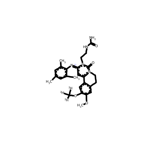 [2H]C([2H])([2H])Oc1cc2c(cc1OC)CCn1c-2c/c(=N\c2c(C)cc(C)cc2C)n(CCNC(N)=O)c1=O